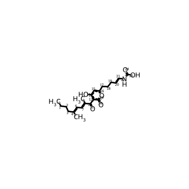 CCCC/C(C)=C/C=C(\C)C(=O)c1c(O)cc(CCC/C=C/NC(=O)O)oc1=O